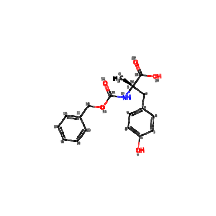 C[C@@](Cc1ccc(O)cc1)(NC(=O)OCc1ccccc1)C(=O)O